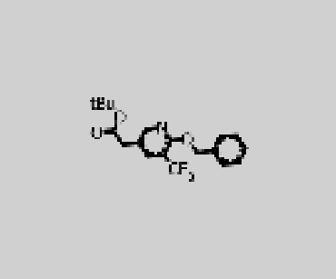 CC(C)(C)OC(=O)Cc1cnc(OCc2ccccc2)c(C(F)(F)F)c1